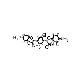 Cc1ccc(OC(C(N)=O)c2ccc(C(Oc3ccc(C)cc3)C(N)=O)c(Cl)c2)cc1